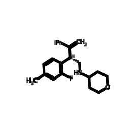 C=C(C(C)C)[C@H](CNC1CCOCC1)c1ccc(C)cc1F